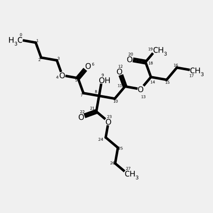 CCCCOC(=O)CC(O)(CC(=O)OC(CCC)C(C)=O)C(=O)OCCCC